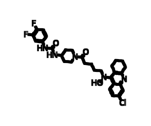 O=C(Nc1ccc(F)c(F)c1)NC1CCN(C(=O)CCCCN(O)c2c3c(nc4cc(Cl)ccc24)CCCC3)CC1